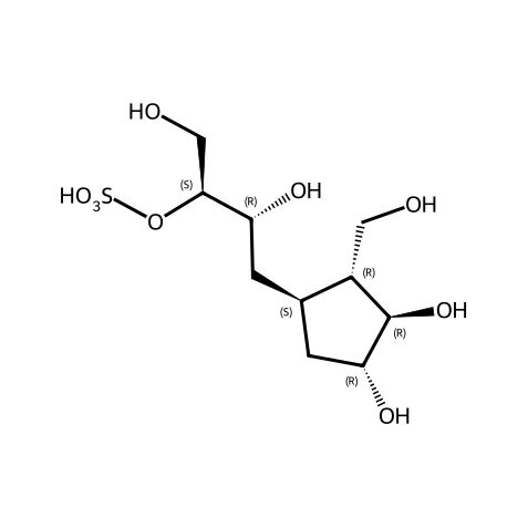 O=S(=O)(O)O[C@@H](CO)[C@H](O)C[C@@H]1C[C@@H](O)[C@H](O)[C@H]1CO